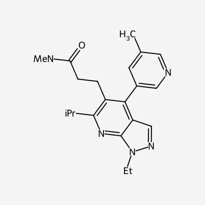 CCn1ncc2c(-c3cncc(C)c3)c(CCC(=O)NC)c(C(C)C)nc21